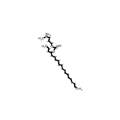 CCCCCCCCCCCCCCCCC(CCC)OC(O)OCCCN(C)C